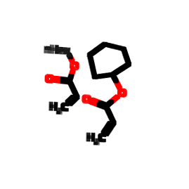 C=CC(=O)OC1CCCCC1.C=CC(=O)OCCCCCC